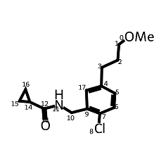 COCCCc1ccc(Cl)c(CNC(=O)C2CC2)c1